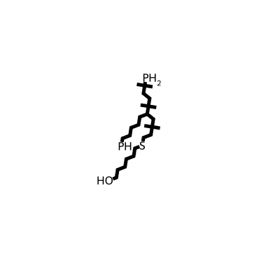 CC(C)(P)CCC(C)(C)C(CCCCCP)CC(C)(C)CCSCCCCCCO